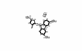 CC1=[C]([Zr+2][CH]2c3ccc(C(C)(C)C)cc3-c3cc(C(C)(C)C)ccc32)CC(C(C)(C)C)=C1.[Cl-].[Cl-]